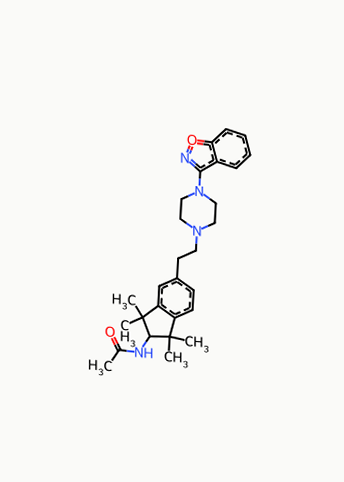 CC(=O)NC1C(C)(C)c2ccc(CCN3CCN(c4noc5ccccc45)CC3)cc2C1(C)C